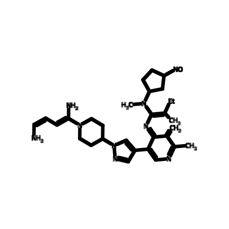 C=C1C(C)=NC=C(c2cnn(C3CCN(/C(N)=C/C=C\N)CC3)c2)/C1=N/C(=C(\C)CC)N(C)C1CCC(N=O)C1